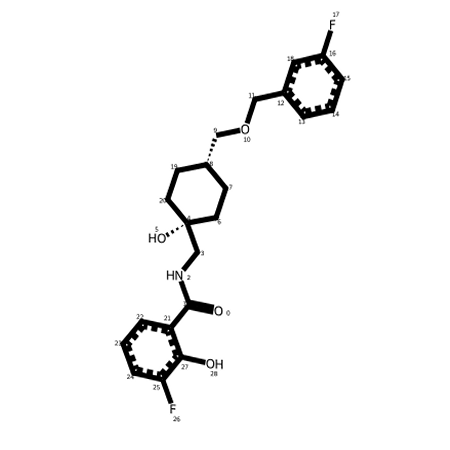 O=C(NC[C@]1(O)CC[C@@H](COCc2cccc(F)c2)CC1)c1cccc(F)c1O